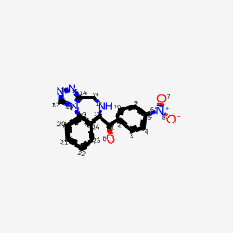 O=C(c1ccc([N+](=O)[O-])cc1)C1NCc2nncn2-c2ccccc21